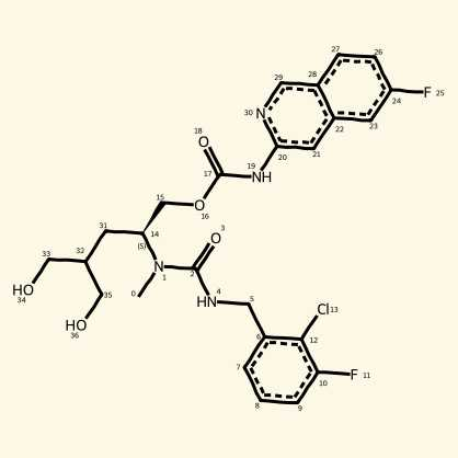 CN(C(=O)NCc1cccc(F)c1Cl)[C@H](COC(=O)Nc1cc2cc(F)ccc2cn1)CC(CO)CO